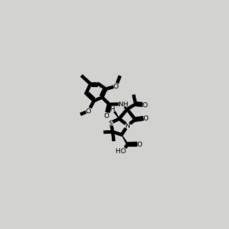 COc1cc(C)cc(OC)c1C(=O)N[C@@]1(C(C)=O)C(=O)N2[C@@H](C(=O)O)C(C)(C)S[C@@H]21